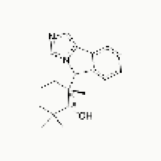 CC1(C)CCC[C@](C)(C2c3ccccc3-c3cncn32)[C@@H]1O